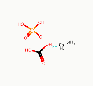 F.O=C(O)O.O=P(O)(O)O.[CaH2].[SrH2]